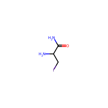 NC(=O)C(N)CI